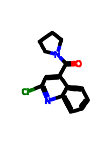 O=C(c1cc(Cl)nc2ccccc12)N1CCCC1